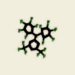 Fc1c(F)c(F)c(B(c2cc(C(F)(F)F)cc(C(F)(F)F)c2)c2c(F)c(F)c(F)c(F)c2F)c(F)c1F